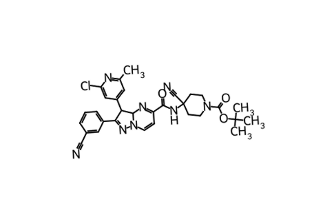 Cc1cc(C2C(c3cccc(C#N)c3)=NN3C=CC(C(=O)NC4(C#N)CCN(C(=O)OC(C)(C)C)CC4)=NC23)cc(Cl)n1